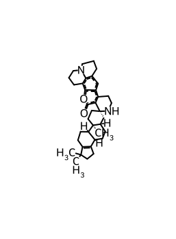 CC1(C)CCC2=C1CC[C@H]1[C@H]2CC[C@H]2C[C@@]3(CC[C@@]21C)NCCc1c3c(=O)oc2c3c4c(cc12)CCCN4CCC3